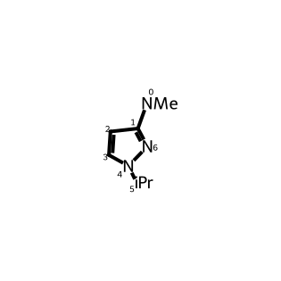 CNc1ccn(C(C)C)n1